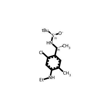 CCNc1cc(Cl)c([C@@H](C)N[S@+]([O-])C(C)(C)C)cc1C